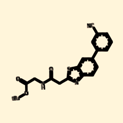 CC(C)(C)OC(=O)CNC(=O)Cc1nc2ccc(-c3cccc(C#N)c3)cc2s1